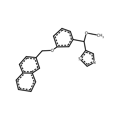 COC(c1cccc(OCc2ccc3ccccc3c2)c1)c1cncs1